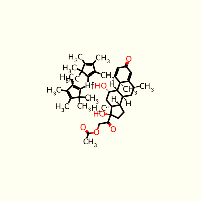 CC(=O)OCC(=O)[C@@]1(O)CC[C@H]2[C@@H]3C[C@H](C)C4=CC(=O)C=C[C@]4(C)[C@H]3[C@@H](O)C[C@@]21C.CC1=C(C)C(C)(C)[C]([Hf][C]2=C(C)C(C)=C(C)C2(C)C)=C1C